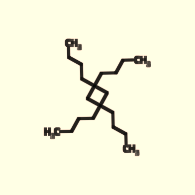 CCCCC1(CCCC)CC(CCCC)(CCCC)C1